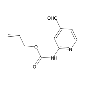 C=CCOC(=O)Nc1cc(C=O)ccn1